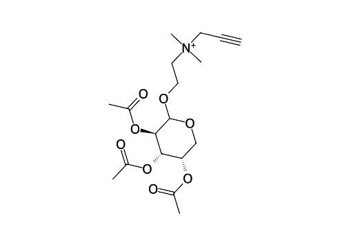 C#CC[N+](C)(C)CCOC1OC[C@H](OC(C)=O)[C@H](OC(C)=O)[C@H]1OC(C)=O